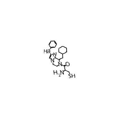 NC(CS)C(=O)N1CCn2cc(Bc3ccccc3)nc2C1CC1CCCCC1